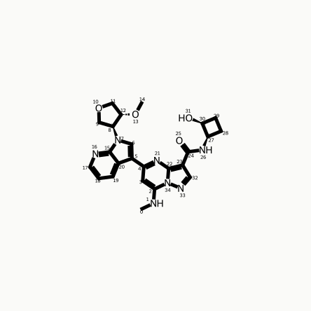 CNc1cc(-c2cn([C@H]3COC[C@@H]3OC)c3ncccc23)nc2c(C(=O)N[C@@H]3CC[C@@H]3O)cnn12